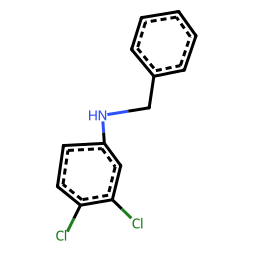 Clc1ccc(NCc2ccccc2)cc1Cl